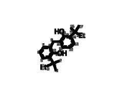 CCC(C)(C)c1cccc(Cc2cccc(C(C)(C)CC)c2O)c1O